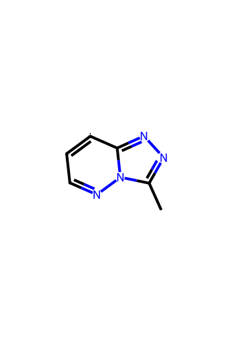 Cc1nnc2[c]ccnn12